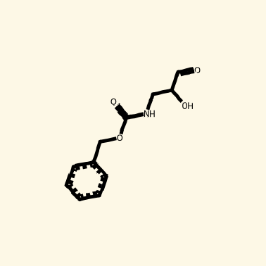 O=CC(O)CNC(=O)OCc1ccccc1